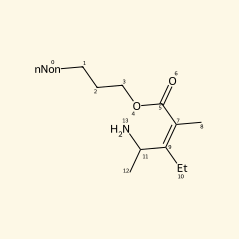 CCCCCCCCCCCCOC(=O)C(C)=C(CC)C(C)N